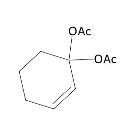 CC(=O)OC1(OC(C)=O)C=CCCC1